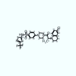 C[C@H](C(=O)N1CCN(c2ccc(S(=O)(=O)Nc3nc(C(F)(F)F)ns3)cc2)CC1)N1CCCc2cc(Cl)ccc21